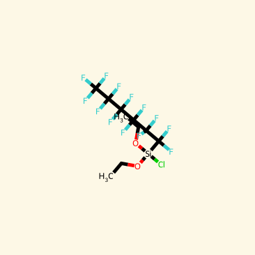 CCO[Si](Cl)(OCC)C(F)(F)C(F)(F)C(F)(F)C(F)(F)C(F)(F)C(F)(F)F